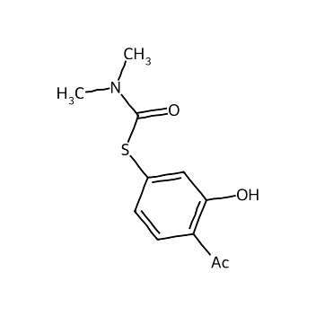 CC(=O)c1ccc(SC(=O)N(C)C)cc1O